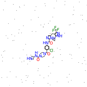 O=C(Nc1ccc(C(=O)N2CCN(C(=O)NC3CNC3)CC2)c(Cl)c1)c1ncc(Cc2c(C(F)(F)F)n[nH]c2C2CC2)[nH]1